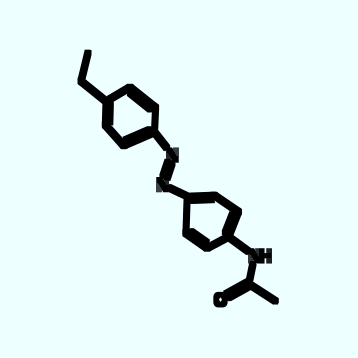 CCc1ccc(N=Nc2ccc(NC(C)=O)cc2)cc1